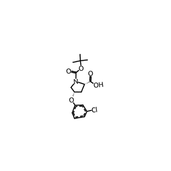 CC(C)(C)OC(=O)N1C[C@@H](Oc2cccc(Cl)c2)C[C@H]1C(=O)O